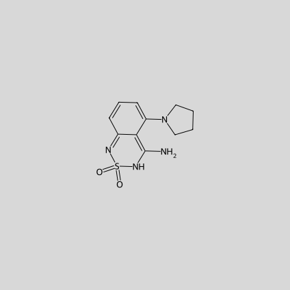 NC1=c2c(N3CCCC3)cccc2=NS(=O)(=O)N1